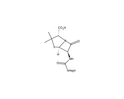 CCCCCCCC(=O)N[C@@H]1C(=O)N2[C@@H]1SC(C)(C)[C@@H]2C(=O)O